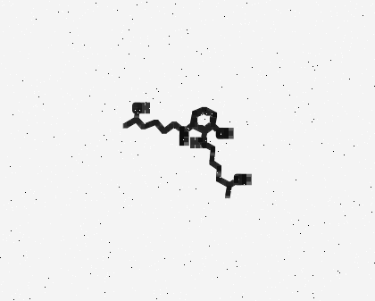 CC(O)CCCCNc1cccc(O)c1NCCCCC(C)O